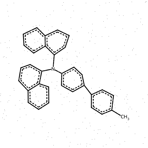 Cc1ccc(-c2ccc(N(c3cccc4ccccc34)c3cccc4ccccc34)cc2)cc1